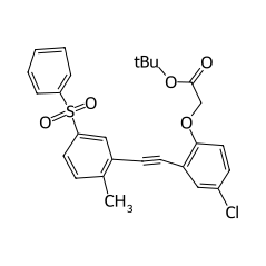 Cc1ccc(S(=O)(=O)c2ccccc2)cc1C#Cc1cc(Cl)ccc1OCC(=O)OC(C)(C)C